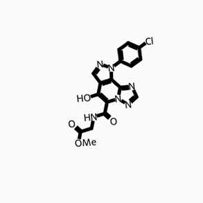 COC(=O)CNC(=O)c1c(O)c2cnn(-c3ccc(Cl)cc3)c2c2ncnn12